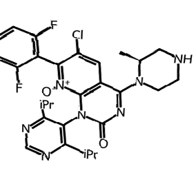 CC(C)c1ncnc(C(C)C)c1-n1c(=O)nc(N2CCNC[C@@H]2C)c2cc(Cl)c(-c3c(F)cccc3F)[n+]([O-])c21